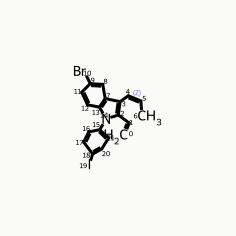 C=Cc1c(/C=C\C)c2cc(Br)ccc2n1-c1ccc(I)cc1